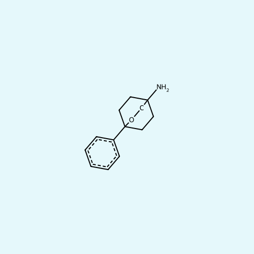 NC12CCC(c3ccccc3)(CC1)OC2